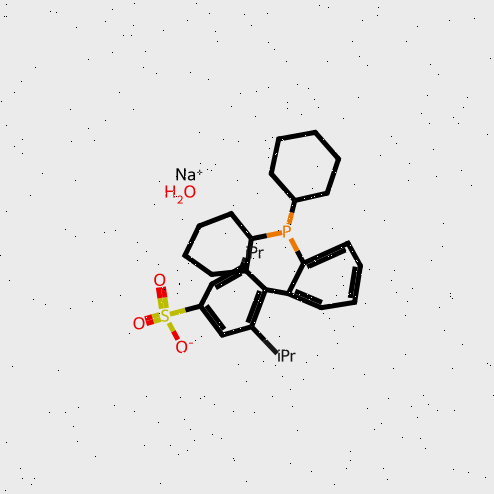 CC(C)c1cc(S(=O)(=O)[O-])cc(C(C)C)c1-c1ccccc1P(C1CCCCC1)C1CCCCC1.O.[Na+]